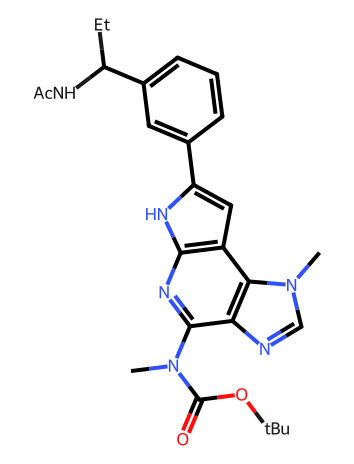 CCC(NC(C)=O)c1cccc(-c2cc3c(nc(N(C)C(=O)OC(C)(C)C)c4ncn(C)c43)[nH]2)c1